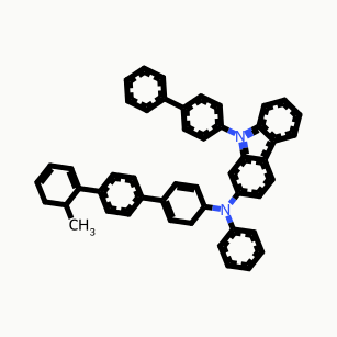 CC1CC=CC=C1c1ccc(C2=CCC(N(c3ccccc3)c3ccc4c5ccccc5n(-c5ccc(-c6ccccc6)cc5)c4c3)C=C2)cc1